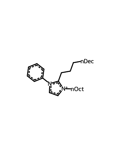 CCCCCCCCCCCCCc1n(-c2ccccc2)cc[n+]1CCCCCCCC